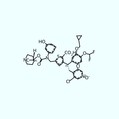 O=C(O)c1sc(CN(C(=O)O[C@H]2CN3CCC2CC3)c2cccc(O)c2)cc1[C@@H](Cc1c(Cl)c[n+]([O-])cc1Cl)c1ccc(OC(F)F)c(OCC2CC2)c1